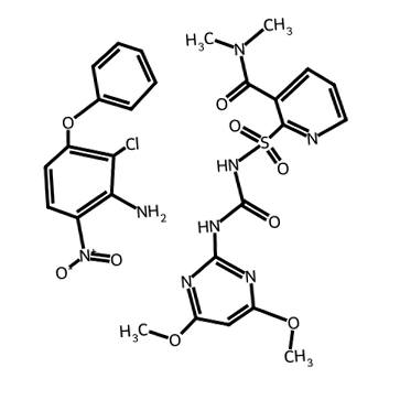 COc1cc(OC)nc(NC(=O)NS(=O)(=O)c2ncccc2C(=O)N(C)C)n1.Nc1c([N+](=O)[O-])ccc(Oc2ccccc2)c1Cl